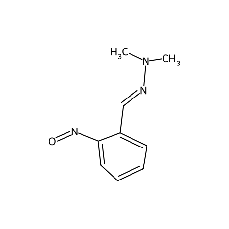 CN(C)/N=C/c1ccccc1N=O